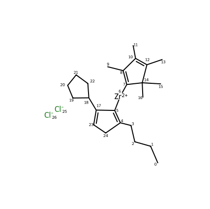 CCCCC1=[C]([Zr+2][C]2=C(C)C(C)=C(C)C2(C)C)C(C2CCCC2)=CC1.[Cl-].[Cl-]